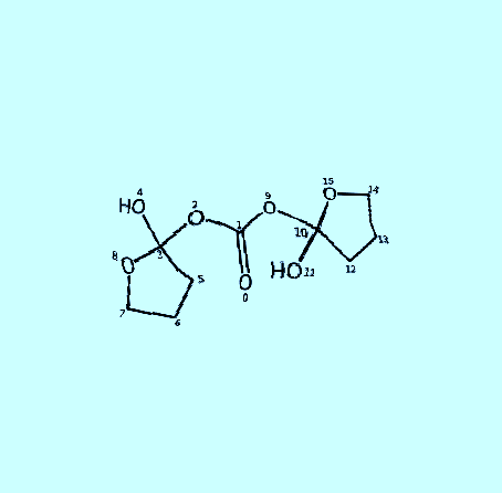 O=C(OC1(O)CCCO1)OC1(O)CCCO1